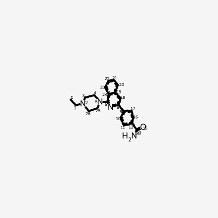 CCN1CCN(c2nc(-c3ccc(C(N)=O)cc3)cc3ccccc23)CC1